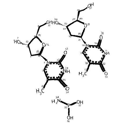 Cc1cn([C@H]2C[C@H](O)[C@@H](CO)O2)c(=O)[nH]c1=O.Cc1cn([C@H]2C[C@H](O)[C@@H](CO)O2)c(=O)[nH]c1=O.NP(O)O